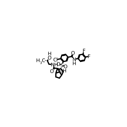 C[C@H](O)CNC(=O)C[C@]1(O)C2CCC1C[C@@H](S(=O)(=O)c1cc(C(=O)Nc3ccc(F)c(F)c3)ccc1Cl)C2